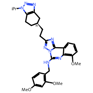 COc1ccc(CNc2nc3c(OC)cccc3c3nc(CC[C@H]4CCc5c(nnn5C(C)C)C4)nn23)c(OC)c1